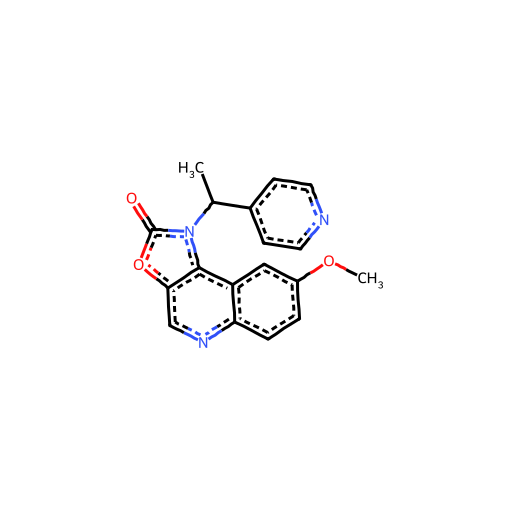 COc1ccc2ncc3oc(=O)n(C(C)c4ccncc4)c3c2c1